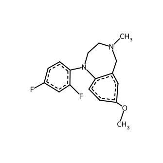 COc1ccc2c(c1)CN(C)CCN2c1ccc(F)cc1F